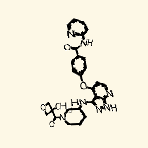 CC1(C(=O)N2CCCC(Nc3n[nH]c4nccc(Oc5ccc(C(=O)Nc6ccccn6)cc5)c34)C2)COC1